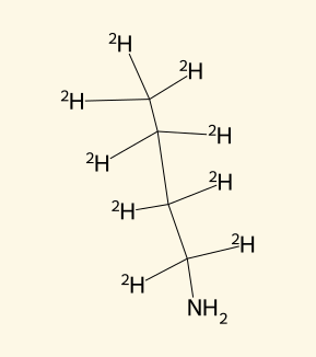 [2H]C([2H])([2H])C([2H])([2H])C([2H])([2H])C([2H])([2H])N